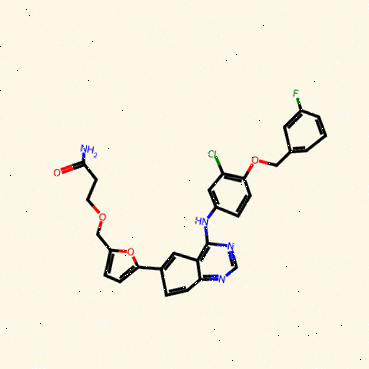 NC(=O)CCOCc1ccc(-c2ccc3ncnc(Nc4ccc(OCc5cccc(F)c5)c(Cl)c4)c3c2)o1